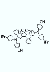 CC(C)c1ccc(N(c2ccc(C#N)cc2)c2ccc3c4c(c5ccccc5c3c2)-c2cc(N(c3ccc(C#N)cc3)c3ccc(C(C)C)cc3)c3ccccc3c2C4(C)C)cc1